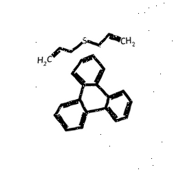 C=CCSCC=C.c1ccc2c(c1)c1ccccc1c1ccccc21